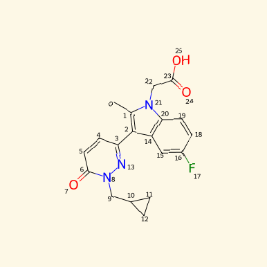 Cc1c(-c2ccc(=O)n(CC3CC3)n2)c2cc(F)ccc2n1CC(=O)O